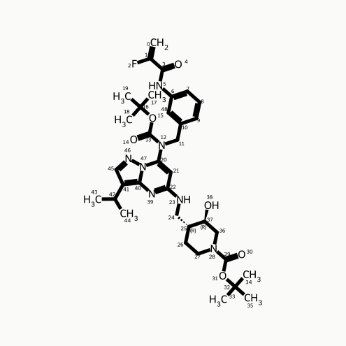 C=C(F)C(=O)Nc1cccc(CN(C(=O)OC(C)(C)C)c2cc(NC[C@H]3CCN(C(=O)OC(C)(C)C)C[C@@H]3O)nc3c(C(C)C)cnn23)c1